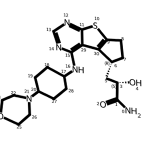 NC(=O)[C@@H](O)C[C@H]1CCc2sc3ncnc(NC4CCC(N5CCOCC5)CC4)c3c21